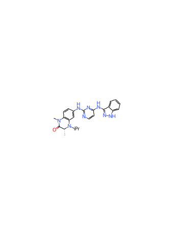 CC(C)N1c2cc(Nc3nccc(Nc4n[nH]c5ccccc45)n3)ccc2N(C)C(=O)[C@H]1C